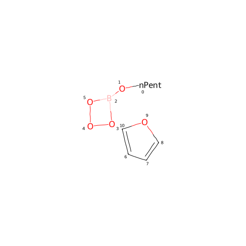 CCCCCOB1OOO1.c1ccoc1